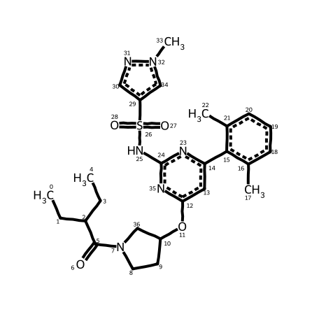 CCC(CC)C(=O)N1CCC(Oc2cc(-c3c(C)cccc3C)nc(NS(=O)(=O)c3cnn(C)c3)n2)C1